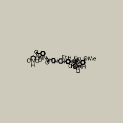 CCc1cc(Nc2ncc(Cl)c(Nc3ccc(OC)cc3NS(C)(=O)=O)n2)c(OC)cc1N1CCC(N2CCN(C(=O)CNc3cccc4c3C(=O)N(C3CCC(=O)NC3=O)C4=O)CC2)CC1